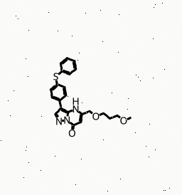 COCCCOCc1cc(=O)n2ncc(-c3ccc(Sc4ccccc4)cc3)c2[nH]1